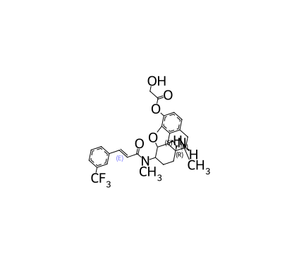 CN(C(=O)/C=C/c1cccc(C(F)(F)F)c1)C1CC[C@H]2[C@H]3Cc4ccc(OC(=O)CO)c5c4[C@@]2(CCN3C)C1O5